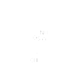 Cc1ccc(S(=O)(=O)NCc2ccccc2)cc1I